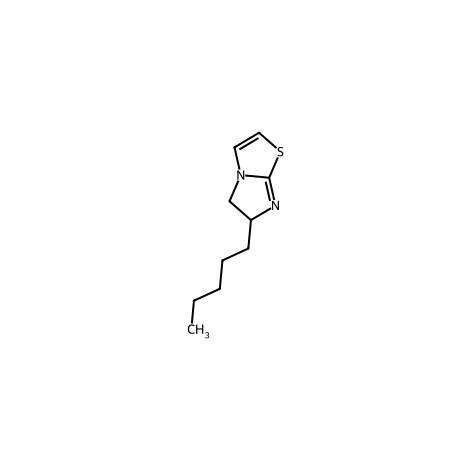 CCCCCC1CN2C=CSC2=N1